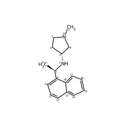 C[C@@H](N[C@@H]1CCN(C)C1)c1cccc2ccccc12